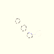 Brc1ccc(-c2ccc(-c3cccc(N4CCSCC4)n3)cc2)cc1